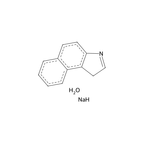 C1=Nc2ccc3ccccc3c2C1.O.[NaH]